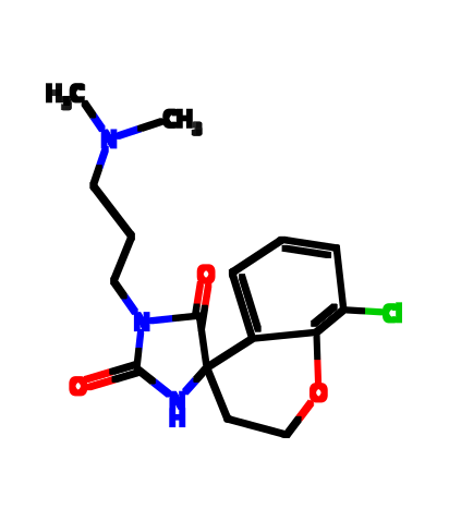 CN(C)CCCN1C(=O)NC2(CCOc3c(Cl)cccc32)C1=O